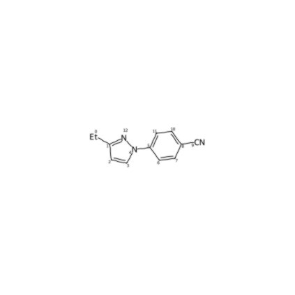 CCc1ccn(-c2ccc(C#N)cc2)n1